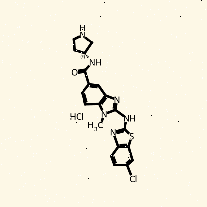 Cl.Cn1c(Nc2nc3ccc(Cl)cc3s2)nc2cc(C(=O)N[C@@H]3CCNC3)ccc21